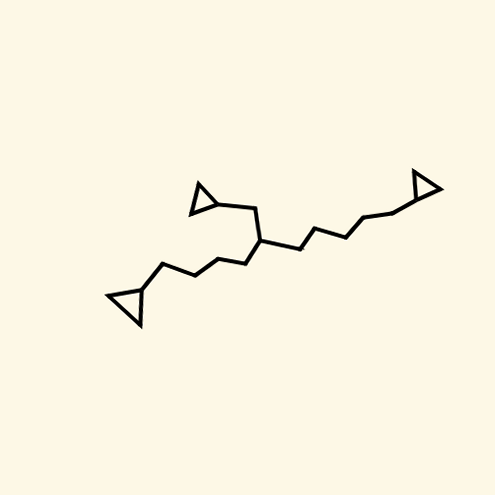 [CH](CCCCC1CC1)C(CCCCC1CC1)CC1CC1